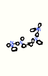 c1ccc(N(c2ccc(-c3nc4ccccc4n3-c3ccccc3)cc2)c2cccc(-c3ccc4cc(N(c5ccccc5)c5ccc(-c6nc7ccccc7n6-c6ccccc6)cc5)ccc4c3)c2)cc1